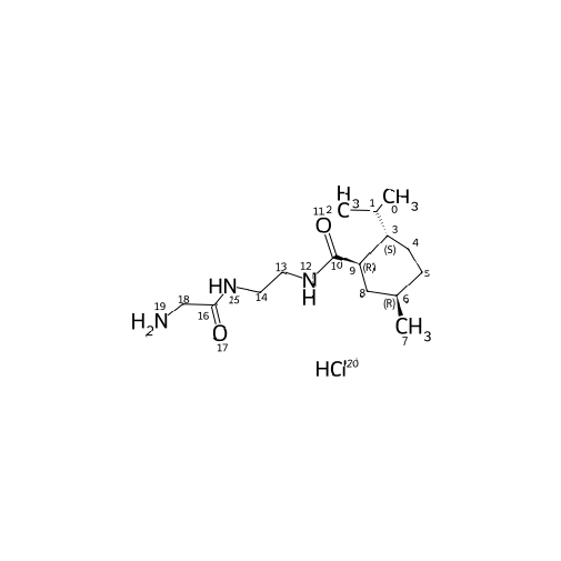 CC(C)[C@@H]1CC[C@@H](C)C[C@H]1C(=O)NCCNC(=O)CN.Cl